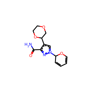 NC(=O)c1nn(C2C=CC=CO2)cc1C1COCCO1